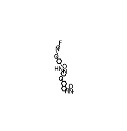 CNC(=O)c1cccc2cc(Oc3ccnc(NC(=O)c4ccc(OCCN5CC(F)C5)cc4)c3)ccc12